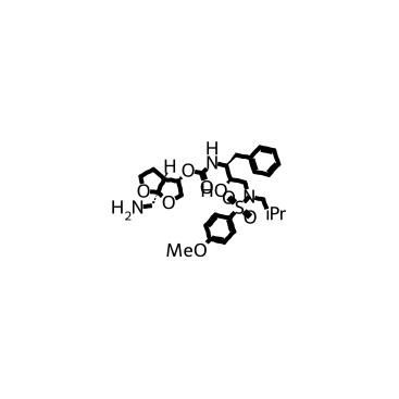 COc1ccc(S(=O)(=O)N(CC(C)C)C[C@@H](O)[C@H](Cc2ccccc2)NC(=O)O[C@H]2CO[C@@]3(CN)OCC[C@@H]23)cc1